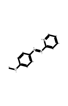 COc1[c]cc(/N=N/c2ccccn2)cc1